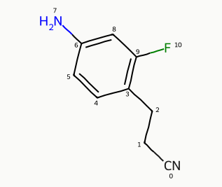 N#CCCc1ccc(N)cc1F